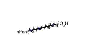 CCCCC/C=C/CC/C=C/CCCCC/C=C/CC(=O)O